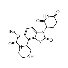 Cn1c(=O)n(C2CCC(=O)NC2=O)c2cccc(C3CNCCN3C(=O)OC(C)(C)C)c21